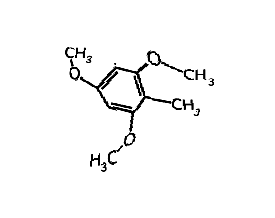 COc1[c]c(OC)c(C)c(OC)c1